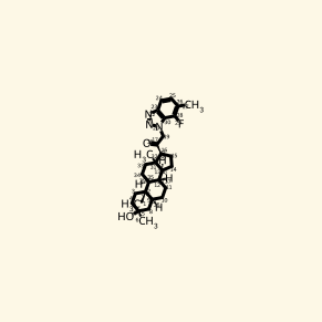 CC[C@]12CC[C@@](C)(O)C[C@@H]1CC[C@H]1[C@@H]3CC[C@H](C(=O)Cn4nnc5ccc(C)c(F)c54)[C@@]3(C)CC[C@@H]12